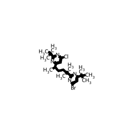 CC(CCC(C)(C)c1nc(Br)cc(C(C)(C)C)n1)c1cc(Cl)nc(C(C)(C)C)n1